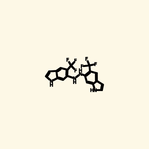 FC(F)(F)c1cc2cc[nH]c2cc1NNc1cc2[nH]ccc2cc1C(F)(F)F